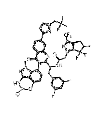 CC1Cc2c(C(F)(F)F)nn(CC(=O)NC(Cc3cc(F)cc(F)c3)c3nc4cc(-c5ccn(CC(C)(F)F)n5)ccc4c(=O)n3-c3ccc(Cl)c4c(N[S+](C)[O-])nn(C)c34)c2C1(F)F